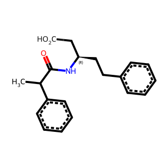 CC(C(=O)N[C@H](CCc1ccccc1)CC(=O)O)c1ccccc1